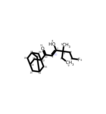 CCC(C)(CCF)/C(O)=C/C(=O)C12CC3CC(CC(C3)C1)C2